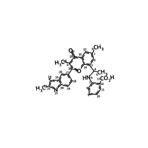 Cc1cc(C(C)Nc2ccccc2C(=O)O)c2oc(-c3ccc4nc(C)sc4c3)c(C)c(=O)c2c1